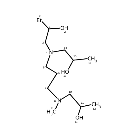 CCC(O)CN(CCCN(C)CC(C)O)CC(C)O